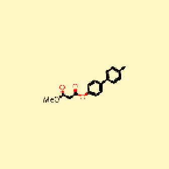 COC(=O)CC(=O)Oc1ccc(-c2ccc(C)cc2)cc1